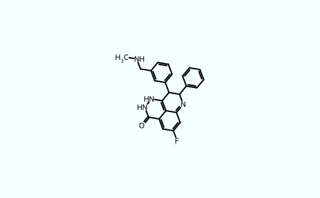 CNCc1cccc(C2C3=c4c(cc(F)cc4=NC2c2ccccc2)C(=O)NN3)c1